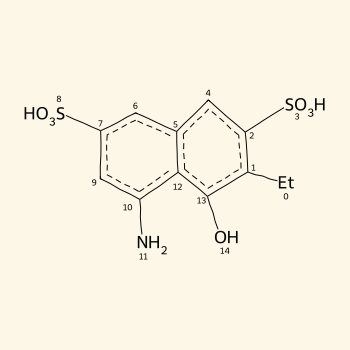 CCc1c(S(=O)(=O)O)cc2cc(S(=O)(=O)O)cc(N)c2c1O